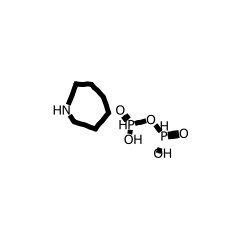 C1CCCNCC1.O=[PH](O)O[PH](=O)O